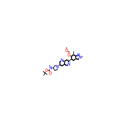 COCOc1c(-c2cc3ncc(N4CCC(N(C)C(=O)OC(C)(C)C)C4)cc3cn2)cc2cn(C)nc2c1C